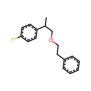 CC(COCCc1ccccc1)c1ccc(F)cc1